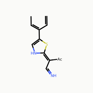 C=C/C(=C\C)C1=CN/C(=C(\C=N)C(C)=O)S1